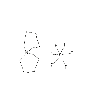 C1CC[N+]2(C1)CCCC2.F[P-](F)(F)(F)(F)F